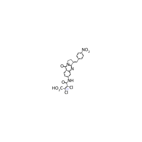 O=C(O)/C(Cl)=C(/Cl)C(=O)Nc1ccc2c(=O)n3c(nc2c1)C(=Cc1ccc([N+](=O)[O-])cc1)CC3